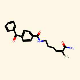 CC(=CCCCNC(=O)c1ccc(C(=O)c2ccccc2)cc1)C(N)=O